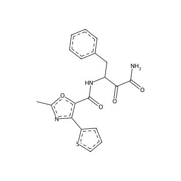 Cc1nc(-c2cccs2)c(C(=O)NC(Cc2ccccc2)C(=O)C(N)=O)o1